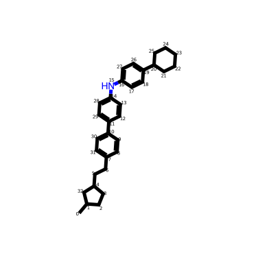 CC1CCC(CCc2ccc(-c3ccc(Nc4ccc(C5CCCCC5)cc4)cc3)cc2)C1